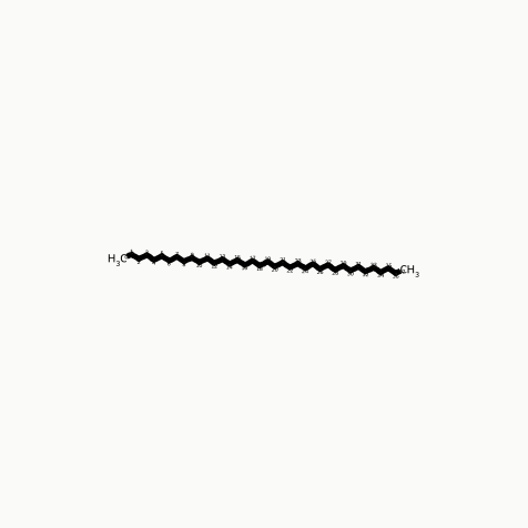 CCCCCCCCCCCCCCCCCC[CH]CCCCCCCCCCCCCCCCCCC